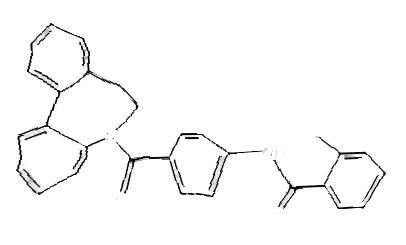 O=C(Nc1ccc(C(=O)N2CCc3ccccc3-c3ccccc32)cc1)c1ccccc1Cl